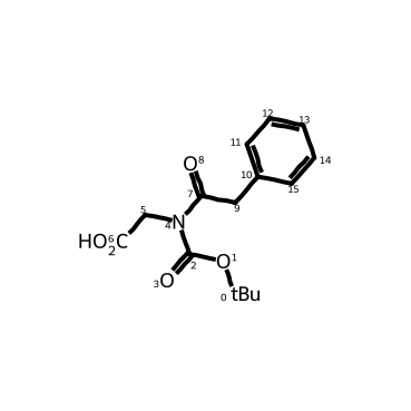 CC(C)(C)OC(=O)N(CC(=O)O)C(=O)Cc1ccccc1